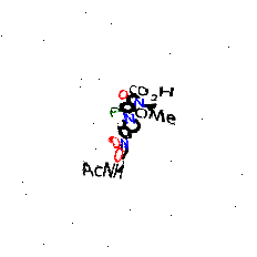 COc1c(N2CCCc3cc(N4C[C@H](CNC(C)=O)OC4=O)ccc3C2)c(F)cc2c(=O)c(C(=O)O)cn(C3CC3)c12